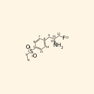 CCS(=O)(=O)c1ccc(C[C@H](N)CF)cc1